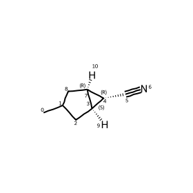 CC1C[C@@H]2[C@@H](C#N)[C@@H]2C1